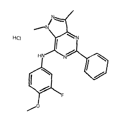 COc1ccc(Nc2nc(-c3ccccc3)nc3c(C)nn(C)c23)cc1F.Cl